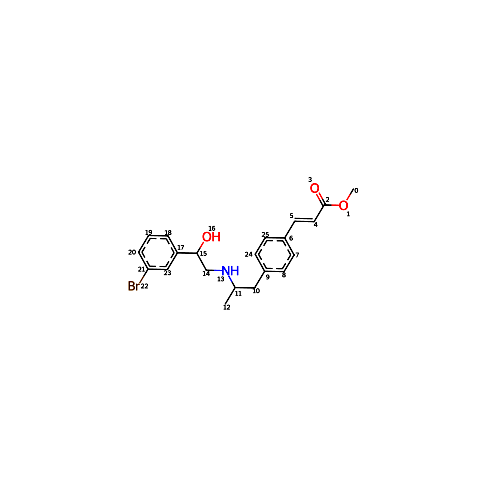 COC(=O)/C=C/c1ccc(CC(C)NCC(O)c2cccc(Br)c2)cc1